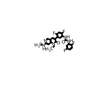 CCn1c(=O)c(-c2cc(NC(=O)Nc3cc(F)ccc3F)c(F)cc2F)cc2cnc(NC)cc21